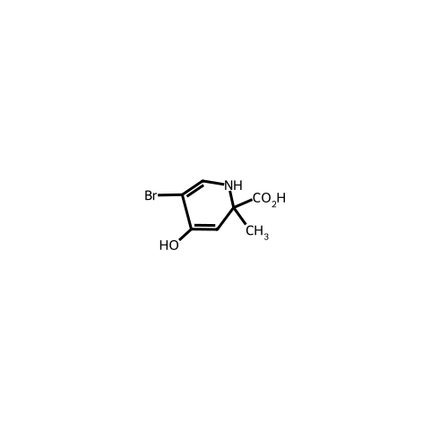 CC1(C(=O)O)C=C(O)C(Br)=CN1